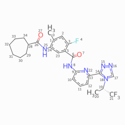 Cc1cc(F)c(C(=O)Nc2cccc(-c3nncn3[C@@H](C)C(F)(F)F)n2)cc1NC(=O)C1CCCCCC1